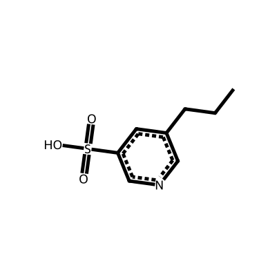 CCCc1cncc(S(=O)(=O)O)c1